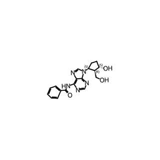 O=C(Nc1ncnc2c1ncn2[C@H]1CC[C@H](O)[C@H]1CO)c1ccccc1